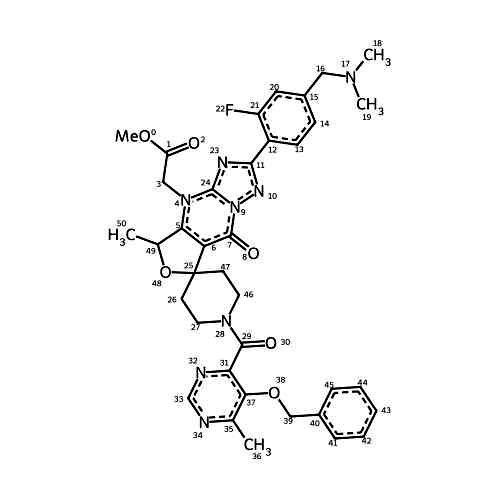 COC(=O)Cn1c2c(c(=O)n3nc(-c4ccc(CN(C)C)cc4F)nc13)C1(CCN(C(=O)c3ncnc(C)c3OCc3ccccc3)CC1)OC2C